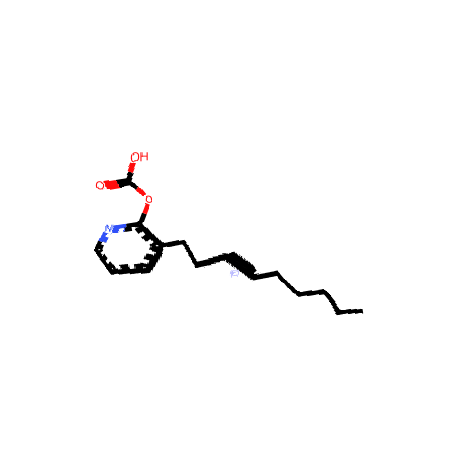 CCCCC/C=C/CCc1cccnc1OC(=O)O